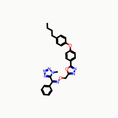 CCCCc1ccc(Oc2ccc(-c3nnc(CO/N=C(/c4ccccc4)c4nnnn4C)o3)cc2)cc1